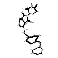 O=C1CCC(N2C(=O)c3cccc(OCc4ccc(CN5CCCCC5)cc4)c3C2=O)C(=O)N1